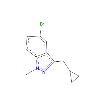 Cn1nc(CC2CC2)c2cc(Br)ccc21